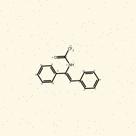 O=C(NC(=Cc1ccccc1)c1ccccc1)C(F)(F)F